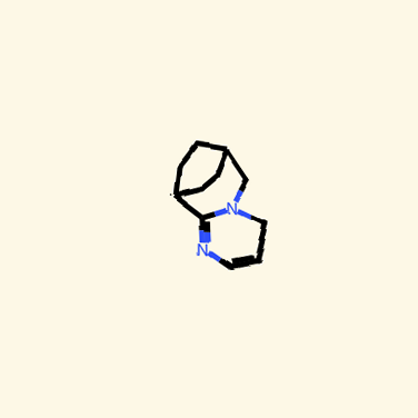 C1=CN=C2[C]3CCC(CC3)CN2C1